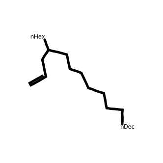 C=CCC(CCCCCC)CCCCCCCCCCCCCCCCC